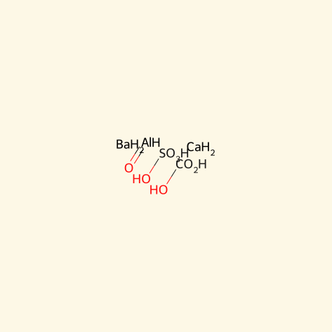 O=C(O)O.O=S(=O)(O)O.[BaH2].[CaH2].[O]=[AlH]